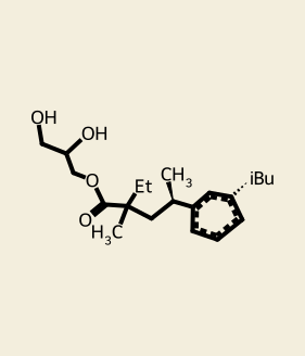 CC[C@@H](C)c1cccc([C@H](C)CC(C)(CC)C(=O)OCC(O)CO)c1